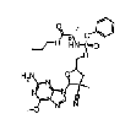 CCCOC(=O)[C@H](C)NP(=O)(OCC1CC(C)(C#N)C(n2cnc3c(OC)nc(N)nc32)O1)Oc1ccccc1